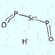 O=[P][Sc+][P]=O.[H-]